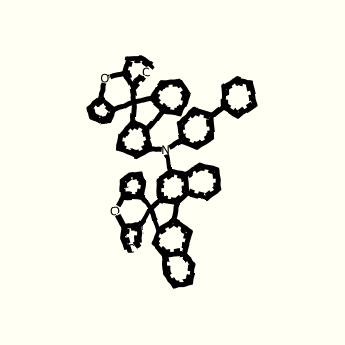 c1ccc(-c2ccc(N(c3cccc4c3-c3ccccc3C43c4ccccc4Oc4ccccc43)c3cc4c(c5ccccc35)-c3cc5ccccc5cc3C43c4ccccc4Oc4ccccc43)cc2)cc1